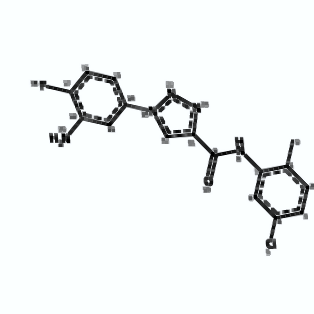 Cc1ccc(Cl)cc1NC(=O)c1cn(-c2ccc(F)c(N)c2)nn1